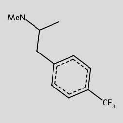 CNC(C)Cc1ccc(C(F)(F)F)cc1